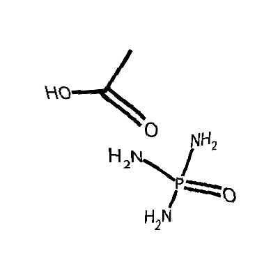 CC(=O)O.NP(N)(N)=O